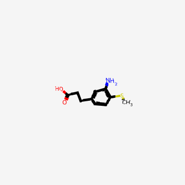 CSc1ccc(CCC(=O)O)cc1N